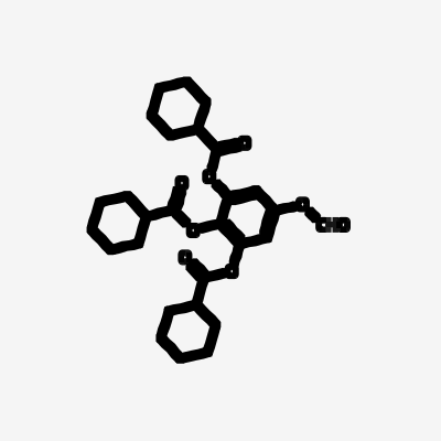 O=COc1cc(OC(=O)C2CCCCC2)c(OC(=O)C2CCCCC2)c(OC(=O)C2CCCCC2)c1